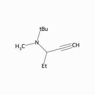 C#CC(CC)N(C)C(C)(C)C